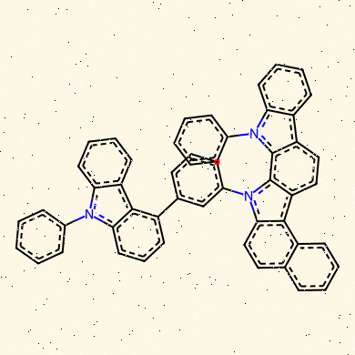 c1ccc(-n2c3ccccc3c3c(-c4cccc(-n5c6ccc7ccccc7c6c6ccc7c8ccccc8n(-c8ccccc8)c7c65)c4)cccc32)cc1